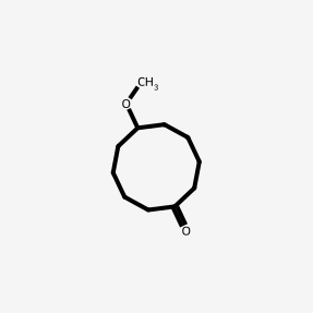 COC1CCCCC(=O)CCCC1